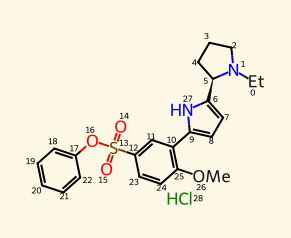 CCN1CCC[C@@H]1c1ccc(-c2cc(S(=O)(=O)Oc3ccccc3)ccc2OC)[nH]1.Cl